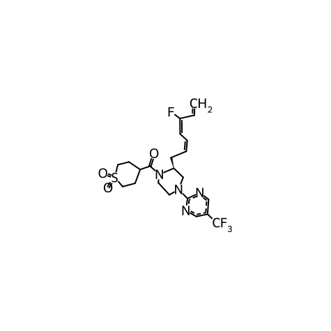 C=C/C(F)=C\C=C/C[C@H]1CN(c2ncc(C(F)(F)F)cn2)CCN1C(=O)C1CCS(=O)(=O)CC1